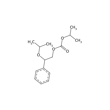 CC(C)OC(=O)OCC(OC(C)C)c1ccccc1